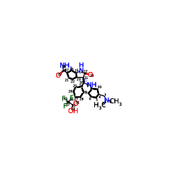 CN(C)Cc1cccc(N/C(=C2\C(=O)Nc3cc(C(N)=O)ccc32)c2ccccc2)c1.O=C(O)C(F)(F)F